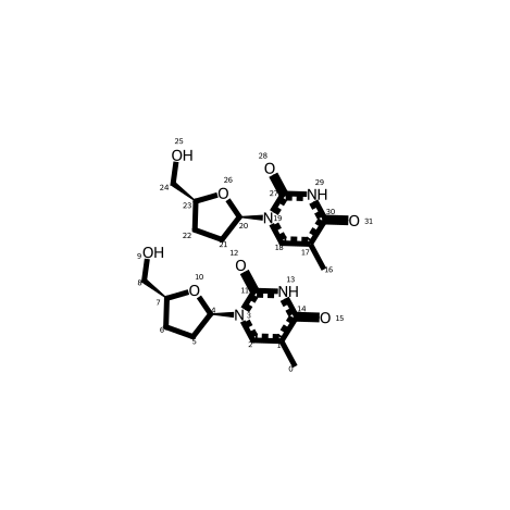 Cc1cn([C@H]2CC[C@@H](CO)O2)c(=O)[nH]c1=O.Cc1cn([C@H]2CC[C@@H](CO)O2)c(=O)[nH]c1=O